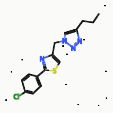 CCCc1cn(Cc2csc(-c3ccc(Cl)cc3)n2)nn1